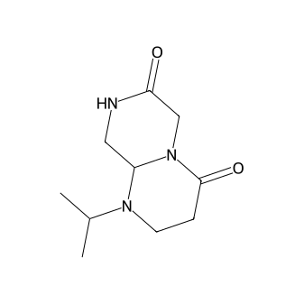 CC(C)N1CCC(=O)N2CC(=O)NCC21